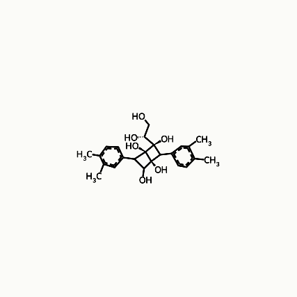 Cc1ccc(C2C(O)[C@@]3(O)C(c4ccc(C)c(C)c4)[C@@](O)([C@H](O)CO)[C@@]23O)cc1C